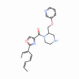 C\C=C/C=C\C(=C/C)c1nc(C(=O)N2CCNCC2COc2cccnc2)co1